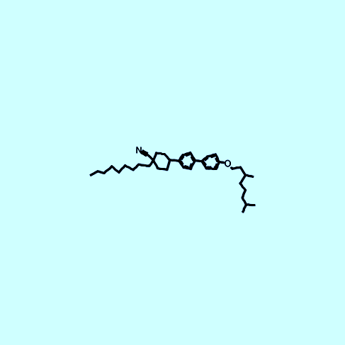 CCCCCCCCCC1(C#N)CCC(c2ccc(-c3ccc(OCCC(C)CCCC(C)C)cc3)cc2)CC1